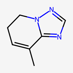 CC1=CCCn2ncnc21